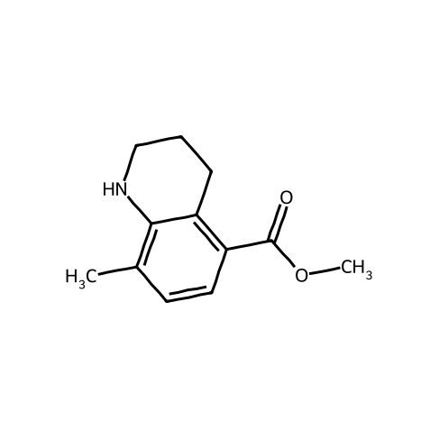 COC(=O)c1ccc(C)c2c1CCCN2